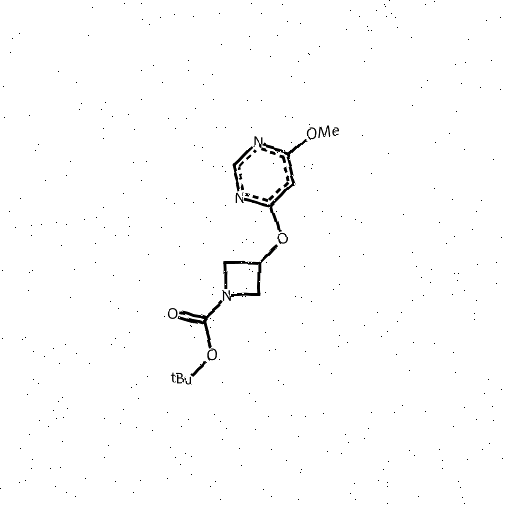 COc1cc(OC2CN(C(=O)OC(C)(C)C)C2)ncn1